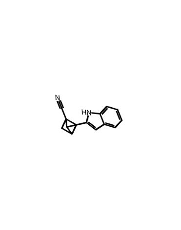 N#CC12CC(C1)C2c1cc2ccccc2[nH]1